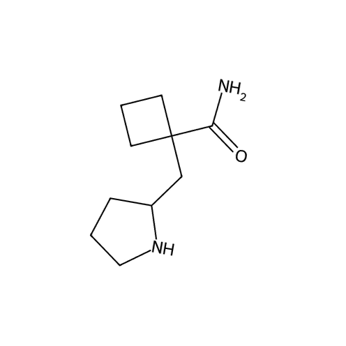 NC(=O)C1(CC2CCCN2)CCC1